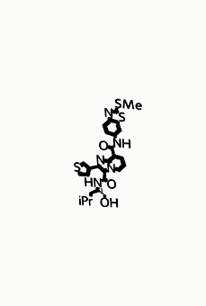 CSc1nc2ccc(NC(=O)c3cccn4c(C(=O)N[C@H](CO)CC(C)C)c(-c5ccsc5)nc34)cc2s1